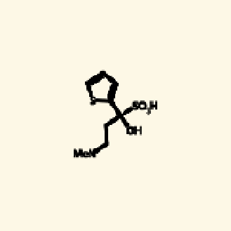 CNCC[C@@](O)(c1cccs1)S(=O)(=O)O